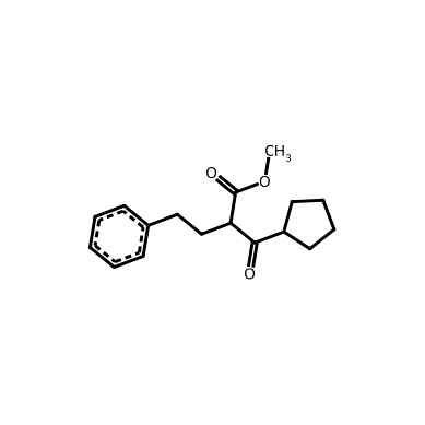 COC(=O)C(CCc1ccccc1)C(=O)C1CCCC1